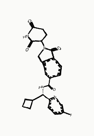 O=C1CCC(N2Cc3cc(C(=O)N[C@H](c4ccc(F)cn4)C4CCC4)ccc3C2=O)C(=O)N1